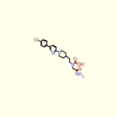 NC(=O)CN(CCC1CCN(c2ccc(-c3ccc(Cl)cc3)cn2)CC1)C(=O)O